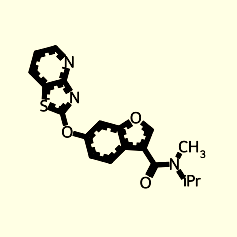 CC(C)N(C)C(=O)c1coc2cc(Oc3nc4ncccc4s3)ccc12